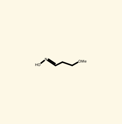 COCCC=NO